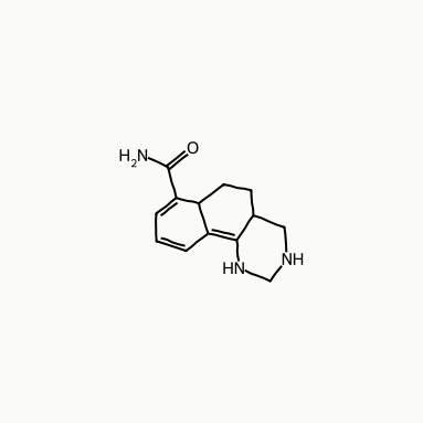 NC(=O)C1=CC=CC2=C3NCNCC3CCC12